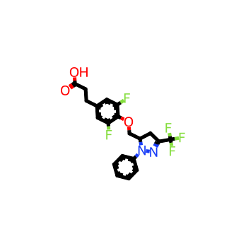 O=C(O)CCc1cc(F)c(OCC2CC(C(F)(F)F)=NN2c2ccccc2)c(F)c1